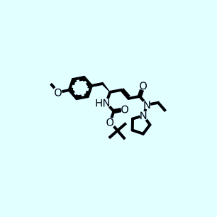 CCN(C(=O)C=C[C@H](Cc1ccc(OC)cc1)NC(=O)OC(C)(C)C)N1CCCC1